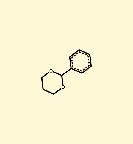 c1ccc(C2OCCCO2)cc1